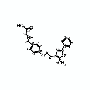 Cc1oc(-c2ccccc2)nc1CCOc1ccc(CNCC(=O)O)cc1